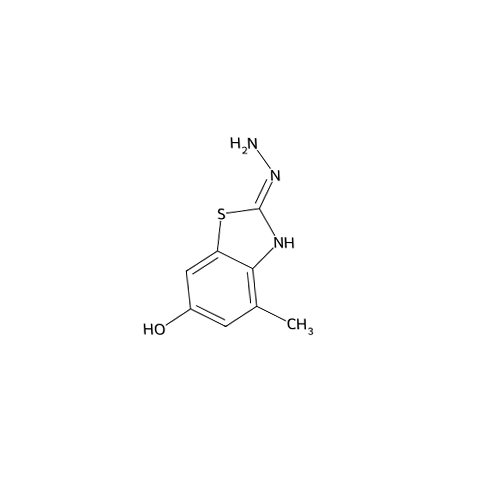 Cc1cc(O)cc2s/c(=N\N)[nH]c12